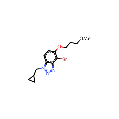 COCCCOc1ccc2c(nnn2CC2CC2)c1Br